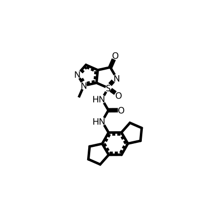 Cn1ncc2c1S(=O)(NC(=O)Nc1c3c(cc4c1CCC4)CCC3)=NC2=O